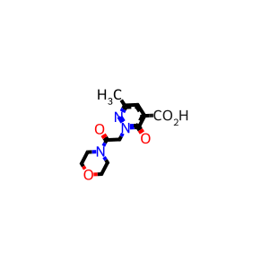 Cc1cc(C(=O)O)c(=O)n(CC(=O)N2CCOCC2)n1